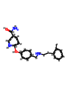 Cc1ccccc1CCNCc1ccc(Oc2ccc(C(N)=O)cn2)cc1